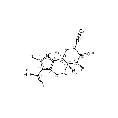 [C-]#[N+]C1C[C@]2(C)c3nn(C)c(C(=O)O)c3CC[C@H]2[C@H](C)C1=O